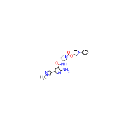 Cn1cc(-c2cnc(N)c(C(=O)N[C@@H]3CCN(C(=O)OC4CCN(c5ccccc5)C4)C3)c2)cn1